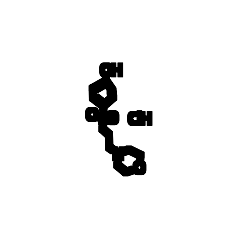 Cl.O=S(=O)(CCCN1CCOCC1)c1ccc(O)cc1